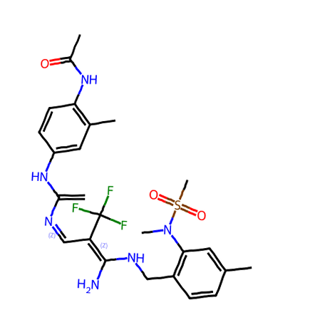 C=C(/N=C\C(=C(/N)NCc1ccc(C)cc1N(C)S(C)(=O)=O)C(F)(F)F)Nc1ccc(NC(C)=O)c(C)c1